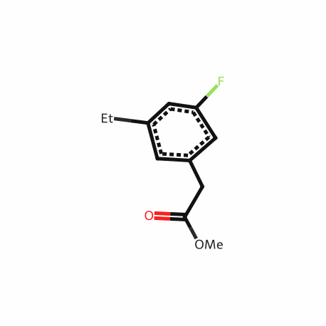 CCc1cc(F)cc(CC(=O)OC)c1